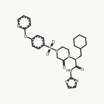 O=C(Nc1nccs1)[C@H](CC1CCCCC1)N1CCN(S(=O)(=O)c2ccc(Oc3ccccn3)cc2)CC1=O